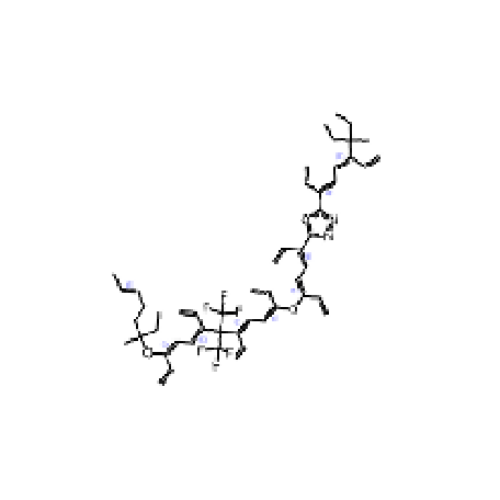 C=C/C(=C\C=C(/C=C)c1nnc(/C(C=C)=C/C=C(\C=C)C(C)(CC)CC)o1)O/C(C=C)=C/C=C(\C=C)C(/C(C=C)=C/C=C(\C=C)OC(C)(CC)CC/C=C/C)(C(F)(F)F)C(F)(F)F